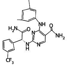 Cc1cc(C)cc(Nc2nc(N[C@@H](C(N)=O)c3cccc(C(F)(F)F)c3)ncc2C(N)=O)c1